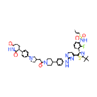 CCCS(=O)(=O)Nc1cccc(-c2nc(C(C)(C)C)sc2-c2ccnc(Nc3ccc(C4CCN(C(=O)C[C@H]5CCN(c6ccc([C@@H]7CCC(=O)NC7=O)cc6)C5)CC4)cc3)n2)c1F